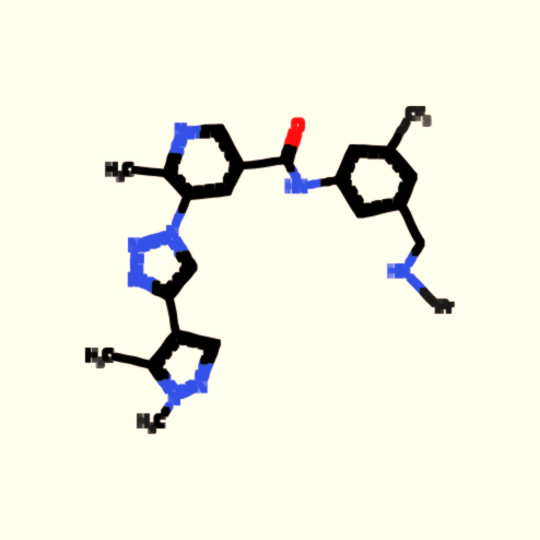 Cc1ncc(C(=O)Nc2cc(CNC(C)C)cc(C(F)(F)F)c2)cc1-n1cc(-c2cnn(C)c2C)nn1